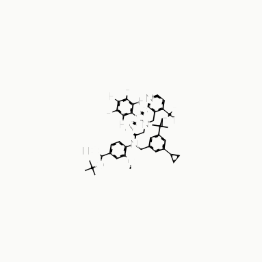 COc1cc(C(O)OC(C)(C)C)ccc1N(Cc1cc(C2CC2)cc(C(C)(C)C)c1)C(=O)CN(Cc1cnccc1C(F)(F)F)S(=O)(=O)c1c(F)c(F)c(F)c(F)c1F